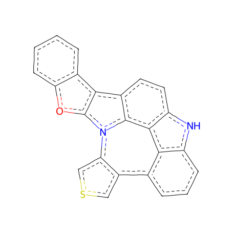 c1ccc2c(c1)oc1c2c2ccc3[nH]c4cccc5c6cscc6n1c2c3c45